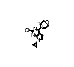 C[C@@H]1COCCN1c1nc(Cl)nc2c1ccn2C1CC1